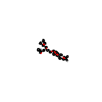 c1cc(-c2ccc(N(c3ccc(-c4cccc5c4oc4ccccc45)cc3)c3cccc(-c4ccc(-c5ccccc5-n5c6ccccc6c6ccccc65)cc4)c3)cc2)cc(-c2cccc3oc4c(-c5ccc(N(c6cccc(-c7ccc(-c8ccccc8-n8c9ccccc9c9ccccc98)cc7)c6)c6ccccc6-c6ccc7ccccc7c6)cc5)cccc4c23)c1